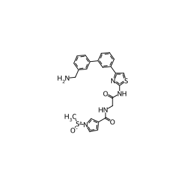 C[S+]([O-])n1ccc(C(=O)NCC(=O)Nc2nc(-c3cccc(-c4cccc(CN)c4)c3)cs2)c1